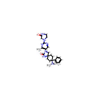 Cc1nc(N2CCNC(=O)C2)ncc1N1CC2(CCC(c3ccccc3)(N(C)C)CC2)NC1=O